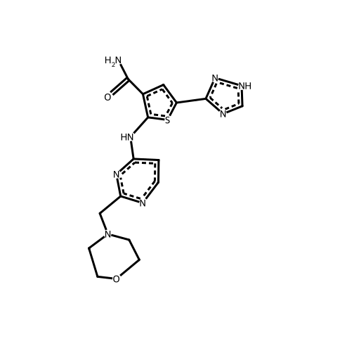 NC(=O)c1cc(-c2nc[nH]n2)sc1Nc1ccnc(CN2CCOCC2)n1